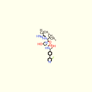 CC(C)/C(=C/N[C@H](C(=O)N1C[C@H](O)C[C@H]1C(=O)N[C@@H](CO)c1ccc(-c2ccncc2F)cc1)C(C)C)N=N